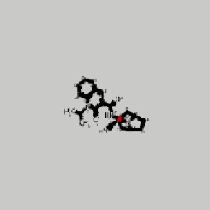 CC(C)n1c(=O)c(C(=O)NC2CC3CCC(C2)N3CC#N)cc2ccccc21